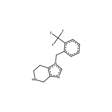 FC(F)(F)c1ccccc1Cn1cnc2c1CCNC2